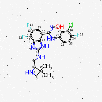 CC1(C)CNC1CNc1nc2c(F)c(F)cc(/C(=N/O)Nc3ccc(F)c(Cl)c3)c2[nH]1